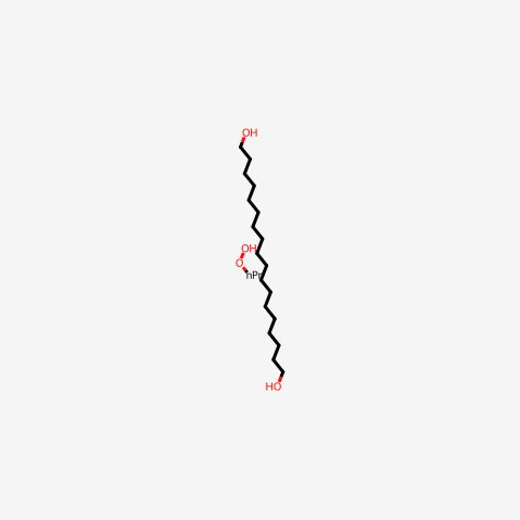 CCCOO.OCCCCCCCCCCCCCCCCCCO